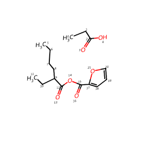 CCC(=O)O.CCCCC(CC)C(=O)OC(=O)c1ccco1